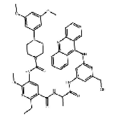 CCc1nc(OC)c(NC(=S)N2CCN(c3cc(OC)cc(OC)c3)CC2)cc1C(=O)NC(C)C(=O)Nc1cc(CO)cc(Nc2c3ccccc3nc3ccccc23)c1